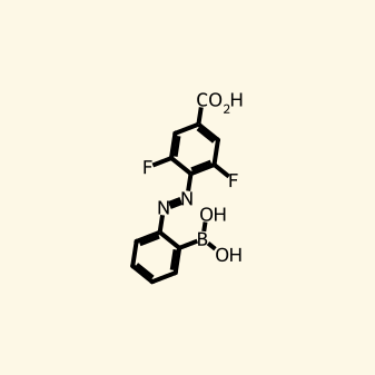 O=C(O)c1cc(F)c(N=Nc2ccccc2B(O)O)c(F)c1